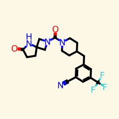 N#Cc1cc(CC2CCN(C(=O)N3CC4(CCC(=O)N4)C3)CC2)cc(C(F)(F)F)c1